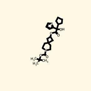 CC(C)(C)OC(=O)N1CCC2(CC1)CC(OC(=O)C(O)(c1cccs1)C1CCCC1)C2